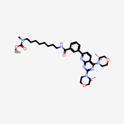 C[C@@H]1COCCN1c1nc(N2CCOC[C@H]2C)c2ccc(-c3cccc(C(=O)NCCCCCCCCN(C)C(=O)OC(C)(C)C)c3)nc2n1